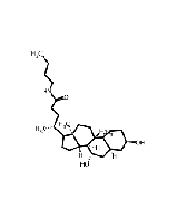 CCCCNC(=O)CC[C@@H](C)C1CC[C@H]2[C@@H]3[C@@H](O)C[C@@H]4C[C@H](O)CC[C@]4(C)[C@H]3CC[C@]12C